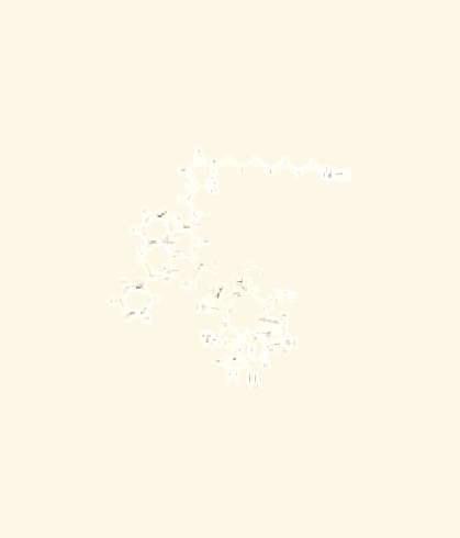 CCCCCCCCCCCCCCCCCC1OC[C@H](COC(=O)O[C@@H](C(=O)O[C@H]2C[C@@]3(O)[C@@H](O)[C@@H]4[C@]5(OC(C)=O)CO[C@@H]5C[C@H](O)[C@@]4(C)C(=O)[C@H](OC(C)=O)C(=C2C)C3(C)C)[C@@H](NC(=O)c2ccccc2)c2ccccc2)O1